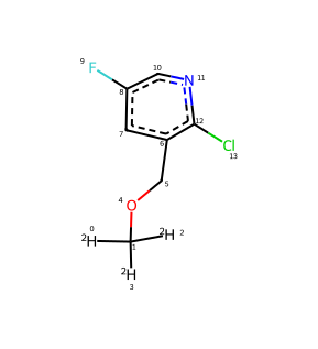 [2H]C([2H])([2H])OCc1cc(F)cnc1Cl